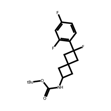 CC(C)(C)OC(=O)NC1CC2(C1)CC(F)(c1ccc(F)cc1F)C2